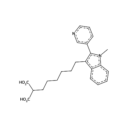 Cn1c(-c2cccnc2)c(CCCCCCC(C(=O)O)C(=O)O)c2ccccc21